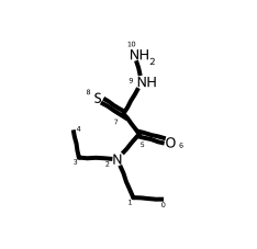 CCN(CC)C(=O)C(=S)NN